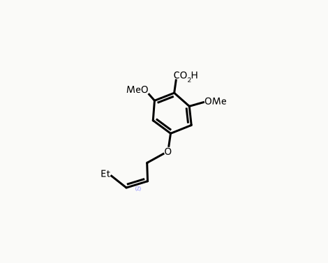 CC/C=C\COc1cc(OC)c(C(=O)O)c(OC)c1